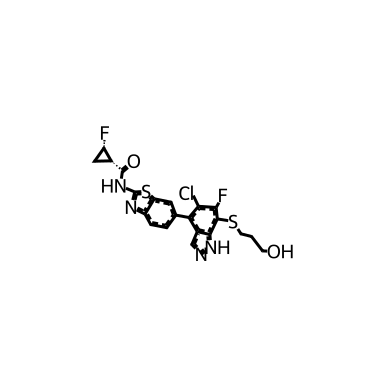 O=C(Nc1nc2ccc(-c3c(Cl)c(F)c(SCCCO)c4[nH]ncc34)cc2s1)[C@@H]1C[C@@H]1F